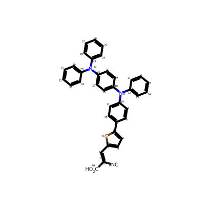 [C-]#[N+]/C(=C\c1ccc(-c2ccc(N(c3ccccc3)c3ccc(N(c4ccccc4)c4ccccc4)cc3)cc2)s1)C(=O)O